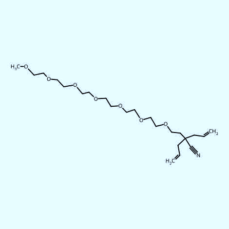 C=CCC(C#N)(CC=C)CCOCCOCCOCCOCCOCCOCCOC